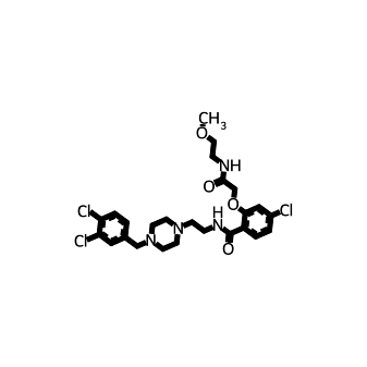 COCCNC(=O)COc1cc(Cl)ccc1C(=O)NCCN1CCN(Cc2ccc(Cl)c(Cl)c2)CC1